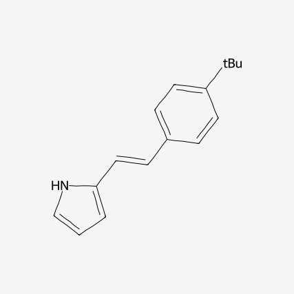 CC(C)(C)c1ccc(/C=C/c2ccc[nH]2)cc1